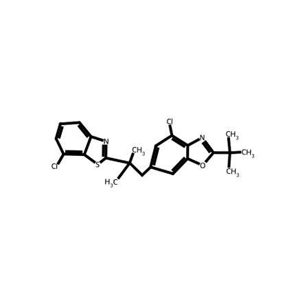 CC(C)(C)c1nc2c(Cl)cc(CC(C)(C)c3nc4cccc(Cl)c4s3)cc2o1